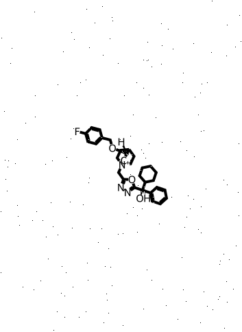 O[C@](c1ccccc1)(c1nnc(C[N+]23CCC(CC2)[C@@H](OCc2ccc(F)cc2)C3)o1)C1CCCCC1